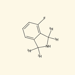 [2H]C1([2H])NC([2H])([2H])c2c(F)cccc21